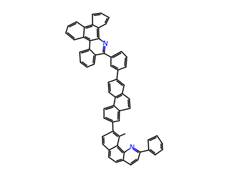 Cc1c(-c2ccc3c(ccc4cc(-c5cccc(-c6nc7c8ccccc8c8ccccc8c7c7ccccc67)c5)ccc43)c2)ccc2ccc3ccc(-c4ccccc4)nc3c12